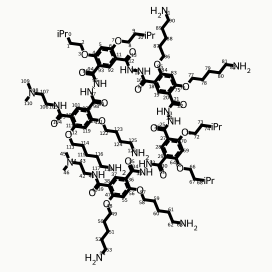 CC(C)CCOc1cc(OCCC(C)C)c(C(=O)NNC(=O)c2cc(C(=O)NNC(=O)c3cc(C(=O)NNC(=O)c4cc(C(=O)NCCN(C)C)c(OCCCCCN)cc4OCCCCCN)c(OCCC(C)C)cc3OCCC(C)C)c(OCCCCCN)cc2OCCCCCN)cc1C(=O)NNC(=O)c1cc(C(=O)NCCN(C)C)c(OCCCCCN)cc1OCCCCN